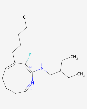 CCCCCC1=CCCC/C=N\C(NCC(CC)CC)=C/1F